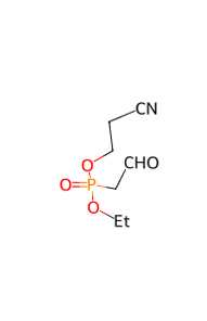 CCOP(=O)(CC=O)OCCC#N